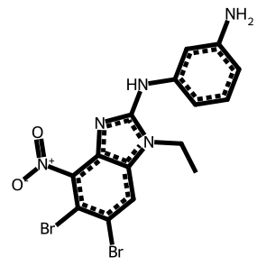 CCn1c(Nc2cccc(N)c2)nc2c([N+](=O)[O-])c(Br)c(Br)cc21